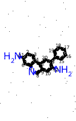 Nc1ccc2c(c1)ncc1cc(N)c(-c3ccccc3)cc12